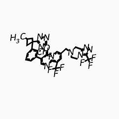 CC1CC(c2cccc(-c3cnc4c(C(F)(F)F)cc(CN5CCn6c(nnc6C(F)(F)F)C5)cn4c3=O)c2)(c2nncn2C)C1